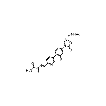 CC(=O)NC[C@H]1CN(c2ccc(-c3ccc(C=NNC(N)=O)nc3)c(F)c2)C(=O)O1